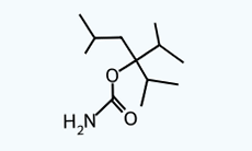 CC(C)CC(OC(N)=O)(C(C)C)C(C)C